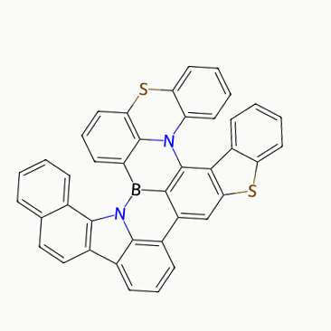 c1ccc2c(c1)Sc1cccc3c1N2c1c2c(cc4sc5ccccc5c14)-c1cccc4c5ccc6ccccc6c5n(c14)B32